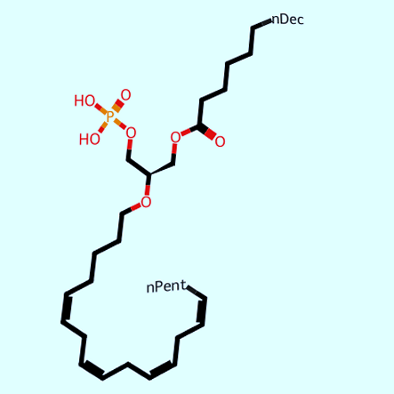 CCCCC/C=C\C/C=C\C/C=C\C/C=C\CCCCO[C@H](COC(=O)CCCCCCCCCCCCCCC)COP(=O)(O)O